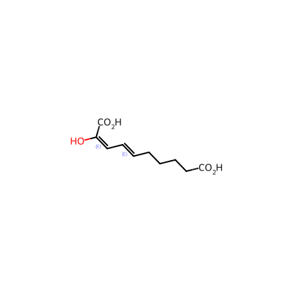 O=C(O)CCCC/C=C/C=C(/O)C(=O)O